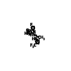 CC(CNc1nc2ccc(F)cc2n2c(=O)[nH]nc12)Nc1cc(C(F)(F)F)ccn1